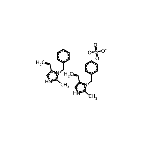 C=Cc1c[nH]c(C)[n+]1Cc1ccccc1.C=Cc1c[nH]c(C)[n+]1Cc1ccccc1.O=S(=O)([O-])[O-]